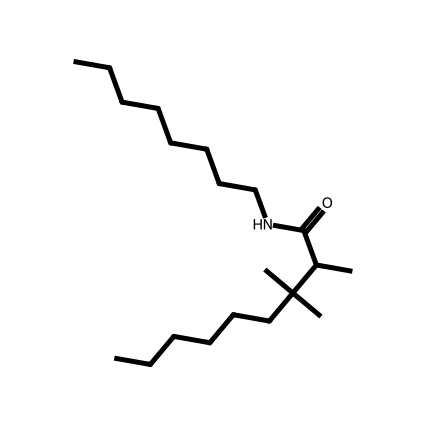 CCCCCCCCNC(=O)C(C)C(C)(C)CCCCCC